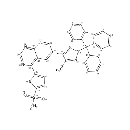 Cc1nn(C(c2ccccc2)(c2ccccc2)C2C=CC=CC2)cc1-c1ccc2ncnc(-c3ccc(S(C)(=O)=O)s3)c2c1